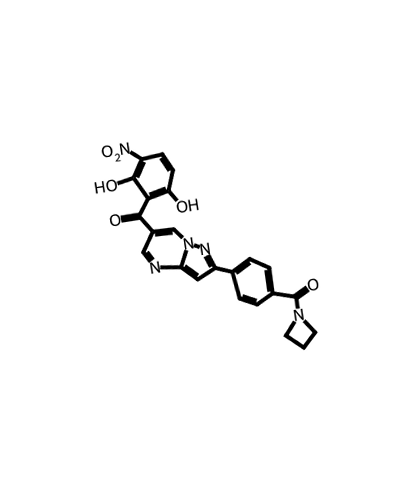 O=C(c1cnc2cc(-c3ccc(C(=O)N4CCC4)cc3)nn2c1)c1c(O)ccc([N+](=O)[O-])c1O